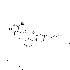 CCc1c[nH]c2ncc(-c3cccc(N4CCN(CCC=O)CC4=O)c3)c(Cl)c12